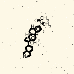 CC(=O)N(C)[C@@H]1CC[C@@]2(C)[C@@H](CC[C@]3(C)[C@@H]2CC[C@]2(C)C(c4ccc5ccncc5c4)=CC[C@@H]32)C1